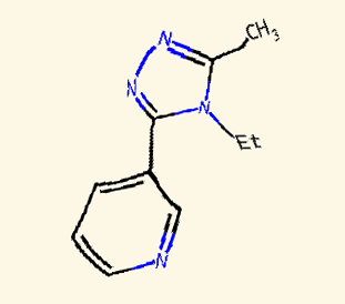 CCn1c(C)nnc1-c1cccnc1